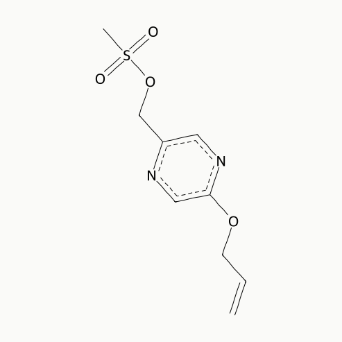 C=CCOc1cnc(COS(C)(=O)=O)cn1